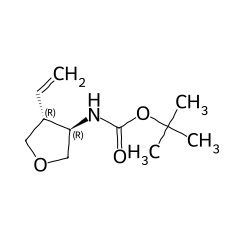 C=C[C@H]1COC[C@@H]1NC(=O)OC(C)(C)C